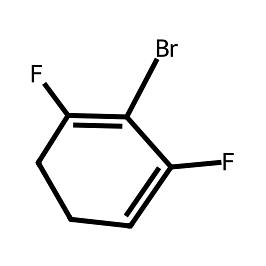 FC1=CCCC(F)=C1Br